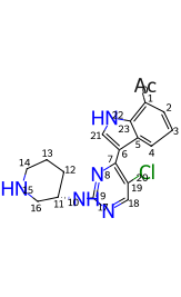 CC(=O)c1cccc2c(-c3nc(N[C@H]4CCCNC4)ncc3Cl)c[nH]c12